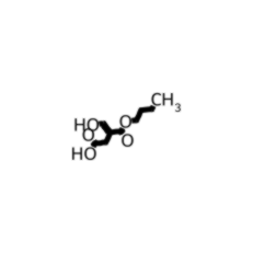 CCCCOC(=O)C(=CO)CC(=O)O